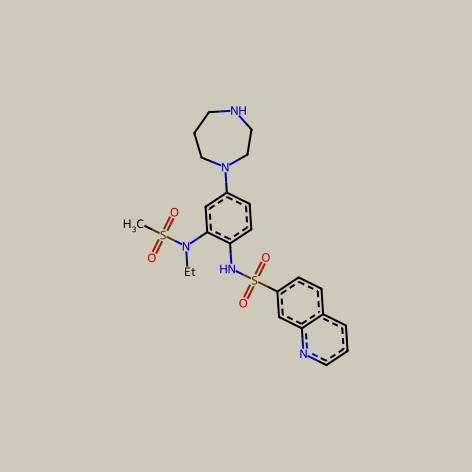 CCN(c1cc(N2CCCNCC2)ccc1NS(=O)(=O)c1ccc2cccnc2c1)S(C)(=O)=O